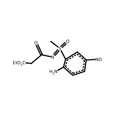 CCOC(=O)CC(=O)N=S(C)(=O)c1cc(N=O)ccc1N